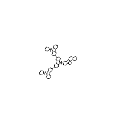 c1ccc(-n2c3ccccc3c3cc(-c4ccc5c(c4)c4cc(-c6ccc7c(c6)c6ccccc6n7-c6ccccc6)ccc4n5-c4ccc5oc6c7ccccc7ccc6c5c4)ccc32)cc1